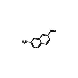 CNc1ccc2ccc(C)cc2c1